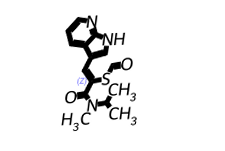 CC(C)N(C)C(=O)/C(=C/c1c[nH]c2ncccc12)SC=O